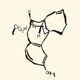 CC(=O)O.Oc1ccc2c(c1)[C@@]13CCC=C[C@H]1[C@@H](C2)NCC3